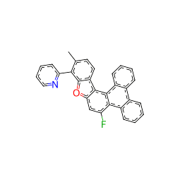 Cc1ccc2c(oc3cc(F)c4c5ccccc5c5ccccc5c4c32)c1-c1ccccn1